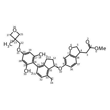 COC(=O)CC1COc2cc(O[C@@H]3CCc4c(-c5c(C)cc(OCC6(C)COC6)cc5C)ccc(F)c43)ccc21